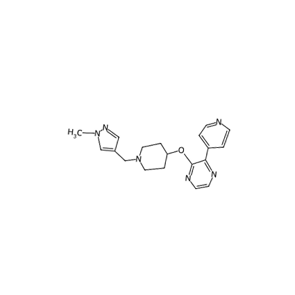 Cn1cc(CN2CCC(Oc3nccnc3-c3ccncc3)CC2)cn1